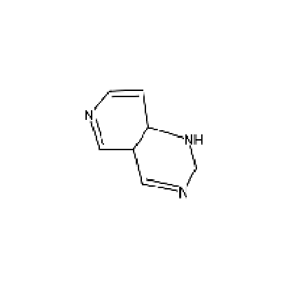 C1=CC2NCN=CC2C=N1